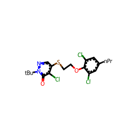 CCCc1cc(Cl)c(OCCSc2cnn(C(C)(C)C)c(=O)c2Cl)c(Cl)c1